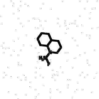 F[SiH2]N1CCCC2CCCCC21